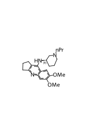 CCCN1CCC[C@@H](Nc2c3c(nc4cc(OC)c(OC)cc24)CCC3)C1